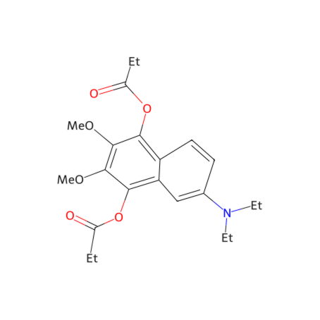 CCC(=O)Oc1c(OC)c(OC)c(OC(=O)CC)c2cc(N(CC)CC)ccc12